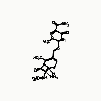 CN1N=C(C(N)=O)C(=O)NC1SCC1=C(C(=O)O)N2C(=O)[C@](N)(NC=O)[C@@H]2SC1